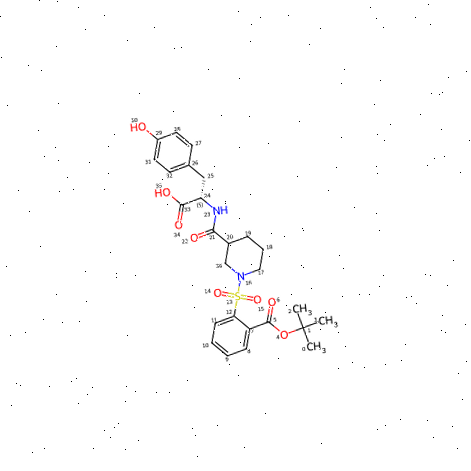 CC(C)(C)OC(=O)c1ccccc1S(=O)(=O)N1CCCC(C(=O)N[C@@H](Cc2ccc(O)cc2)C(=O)O)C1